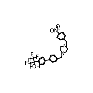 O=[N+]([O-])c1ccc(CN2CCN(Cc3ccc(-c4ccc(C(O)(C(F)(F)F)C(F)(F)F)cc4)cc3)CC2)cc1